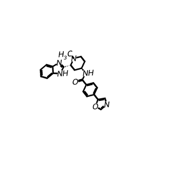 CN1CC[C@@H](NC(=O)c2ccc(-c3cnco3)cc2)C[C@@H]1c1nc2ccccc2[nH]1